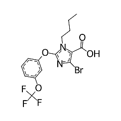 CCCCn1c(Oc2cccc(OC(F)(F)F)c2)nc(Br)c1C(=O)O